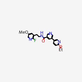 CCOc1ccc(-c2cncc(C(=O)NCCc3cc(OC)cnc3F)c2)cn1